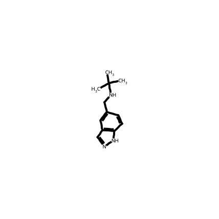 CC(C)(C)NCc1ccc2[nH]ncc2c1